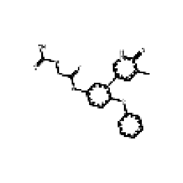 Cc1cc(-c2cc(NC(=O)CNC(=O)O)ccc2Oc2ccccc2)c[nH]c1=O